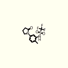 Cc1ccc(N2CCCC2=O)cc1NS(=O)(=O)C(F)(F)F